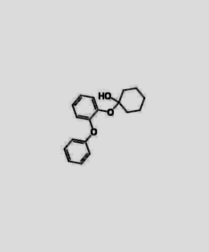 OC1(Oc2ccccc2Oc2ccccc2)CCCCC1